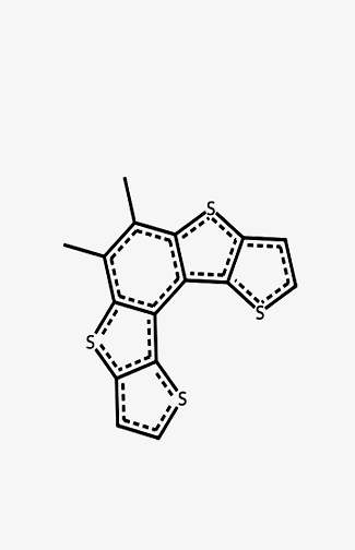 Cc1c(C)c2sc3ccsc3c2c2c1sc1ccsc12